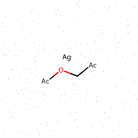 CC(=O)COC(C)=O.[Ag]